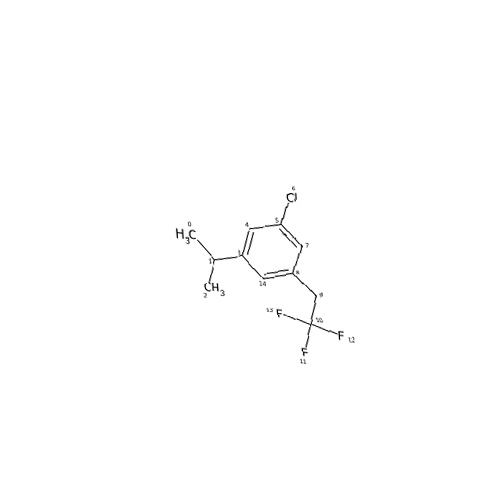 CC(C)c1cc(Cl)cc(CC(F)(F)F)c1